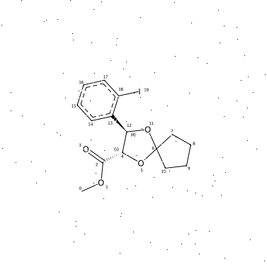 COC(=O)[C@H]1OC2(CCCC2)O[C@@H]1c1ccccc1I